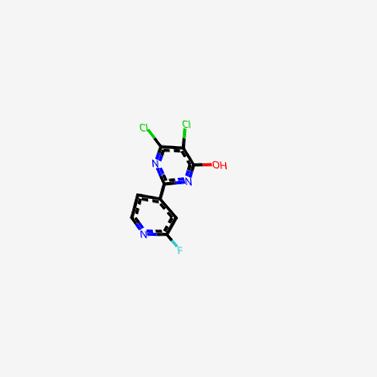 Oc1nc(-c2ccnc(F)c2)nc(Cl)c1Cl